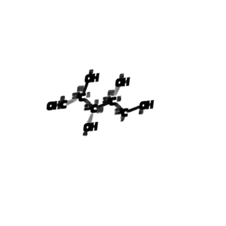 O=[13CH][13C@H](O)[13C@@H](O)[13C@H](O)[13CH2]O